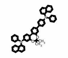 CC1(C)Oc2cc(-c3ccc(N(c4ccccc4)c4cccc5ccccc45)cc3)ccc2-c2ccc(N(c3ccccc3)c3cccc4ccccc34)cc2O1